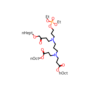 CCCCCCCCOC(=O)CCN(CCCN(CCCOP(=O)(OCC)OCC)CCC(=O)COCCCCCCC)CCC(=O)OCCCCCCCC